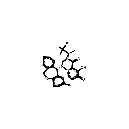 C[C@@H](N1CN([C@H]2c3ccccc3CSc3ccc(F)cc32)n2ccc(=O)c(O)c2C1=O)C(C)(F)F